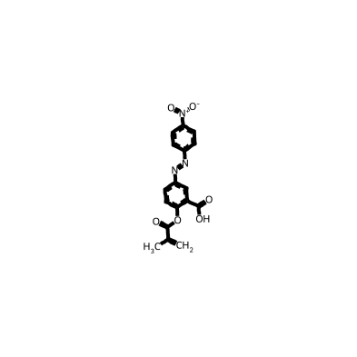 C=C(C)C(=O)Oc1ccc(N=Nc2ccc([N+](=O)[O-])cc2)cc1C(=O)O